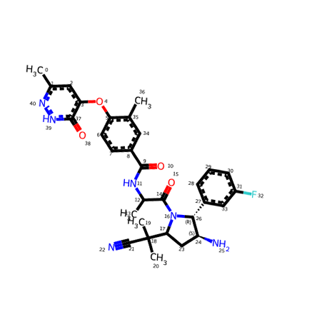 Cc1cc(Oc2ccc(C(=O)NC(C)C(=O)N3C(C(C)(C)C#N)C[C@H](N)[C@H]3c3cccc(F)c3)cc2C)c(=O)[nH]n1